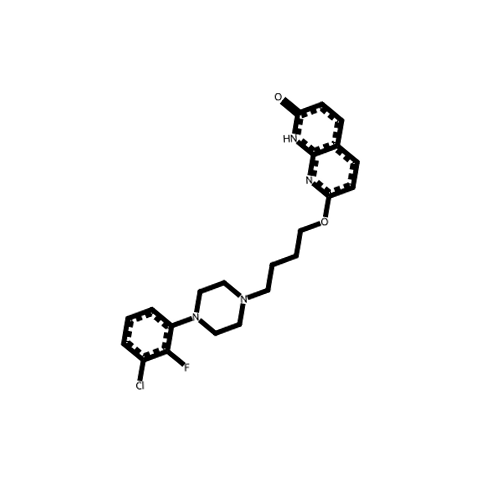 O=c1ccc2ccc(OCCCCN3CCN(c4cccc(Cl)c4F)CC3)nc2[nH]1